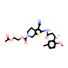 COc1ccc(C)cc1[C@@H](C)CC(=O)Nc1sc2c(c1C#N)CCN(C(=O)OCCOC(C)=O)C2